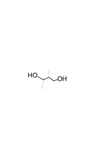 C[C@H](O)[C@H](C)CO